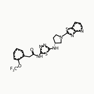 O=C(Cc1ccccc1OC(F)(F)F)Nc1nnc(N[C@@H]2CCN(c3nc4ncccc4s3)C2)s1